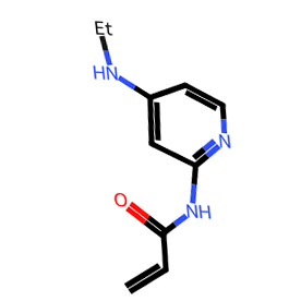 C=CC(=O)Nc1cc(NCC)ccn1